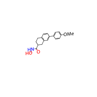 COc1ccc(-c2ccc3c(c2)CC(C(=O)NO)CC3)cc1